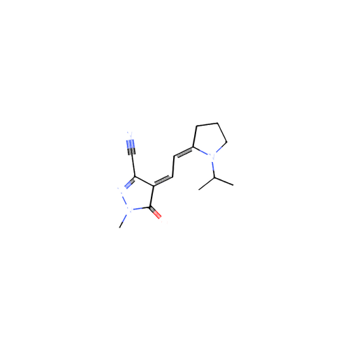 CC(C)N1CCC/C1=C/C=C1/C(=O)N(C)N=C1C#N